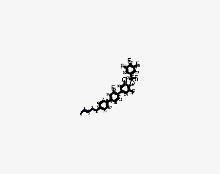 C/C=C/CCc1ccc(-c2ccc(-c3cc(F)c(OC(F)(F)c4cc(F)c(F)c(F)c4)c(Cl)c3)c(F)c2)cc1